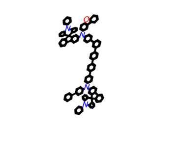 c1ccc(-c2ccc(N(c3ccc(-c4ccc(-c5ccc(-c6cccc(-c7ccc(N(c8ccc9c(c8)C8(c%10ccccc%10-9)c9ccccc9N(c9ccccc9)c9ccccc98)c8ccc9oc%10ccccc%10c9c8)cc7)c6)cc5)cc4)cc3)c3ccc4c(c3)C3(c5ccccc5-4)c4ccccc4N(c4ccccc4)c4ccccc43)cc2)cc1